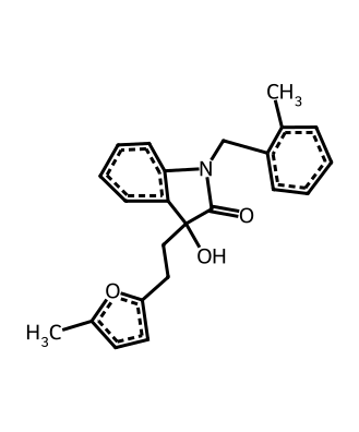 Cc1ccc(CCC2(O)C(=O)N(Cc3ccccc3C)c3ccccc32)o1